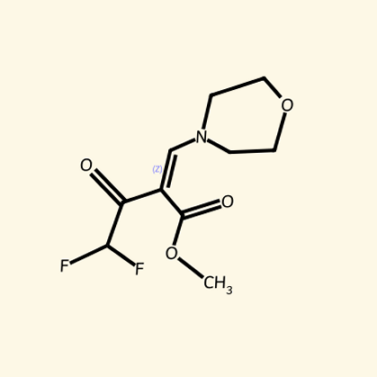 COC(=O)/C(=C\N1CCOCC1)C(=O)C(F)F